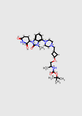 CC(COC1CC(CN2CCN(c3cccc4c3n(C)c(=O)n4C3CCC(=O)NC3=O)CC2)C1)NC(=O)OC(C)(C)C